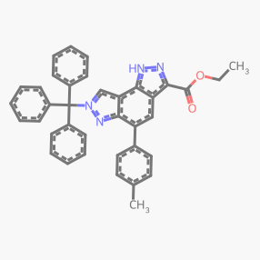 CCOC(=O)c1n[nH]c2c1cc(-c1ccc(C)cc1)c1nn(C(c3ccccc3)(c3ccccc3)c3ccccc3)cc12